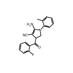 Cc1ccccc1N1CC(C(=O)c2ccccc2F)C(C#N)=C1N